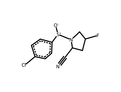 N#CC1CC(F)CN1[S+]([O-])c1ccc(Cl)cc1